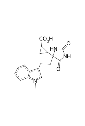 Cn1cc(CCC2(C3CC3C(=O)O)NC(=O)NC2=O)c2ccccc21